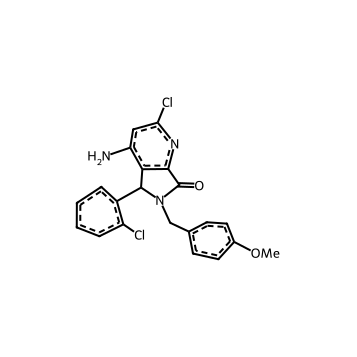 COc1ccc(CN2C(=O)c3nc(Cl)cc(N)c3C2c2ccccc2Cl)cc1